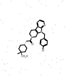 C[C@]1(C(=O)O)CC[C@H](CC(=O)N2CCc3c(n(Cc4ccc(Cl)cc4)c4ncccc34)C2)CC1